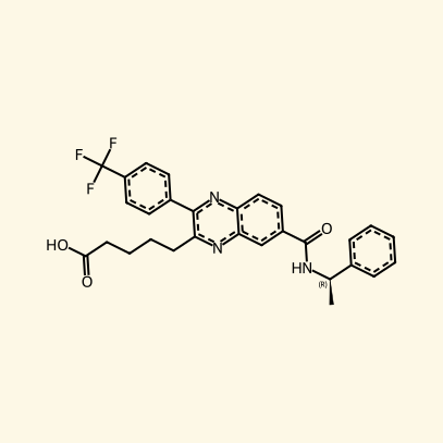 C[C@@H](NC(=O)c1ccc2nc(-c3ccc(C(F)(F)F)cc3)c(CCCCC(=O)O)nc2c1)c1ccccc1